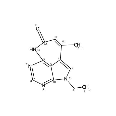 CCn1cc2c3c(ncnc31)NC(=O)C=C2C